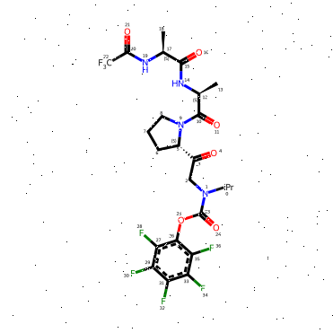 CC(C)N(CC(=O)[C@@H]1CCCN1C(=O)[C@H](C)NC(=O)[C@H](C)NC(=O)C(F)(F)F)C(=O)Oc1c(F)c(F)c(F)c(F)c1F